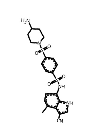 Cc1ccc(NS(=O)(=O)c2ccc(S(=O)(=O)N3CCC(N)CC3)cc2)c2[nH]cc(C#N)c12